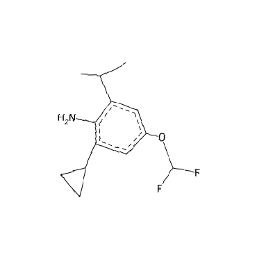 CC(C)c1cc(OC(F)F)cc(C2CC2)c1N